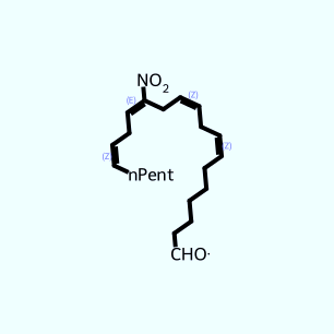 CCCCC/C=C\C/C=C(\C/C=C\C/C=C\CCCCC[C]=O)[N+](=O)[O-]